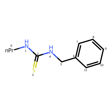 CCCNC(=S)NCc1ccccc1